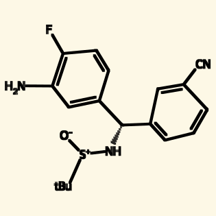 CC(C)(C)[S+]([O-])N[C@@H](c1cccc(C#N)c1)c1ccc(F)c(N)c1